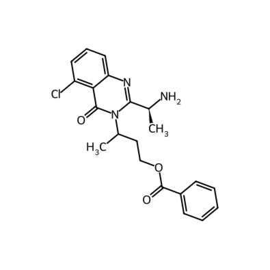 CC(CCOC(=O)c1ccccc1)n1c([C@H](C)N)nc2cccc(Cl)c2c1=O